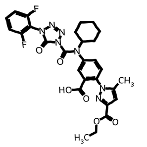 CCOC(=O)c1cc(C)n(-c2ccc(N(C(=O)n3nnn(-c4c(F)cccc4F)c3=O)C3CCCCC3)cc2C(=O)O)n1